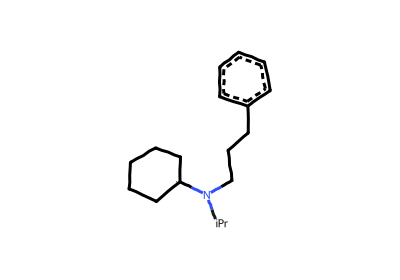 CC(C)N(CCCc1ccccc1)[C]1CCCCC1